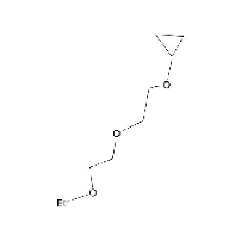 CCOCCOCCOC1CC1